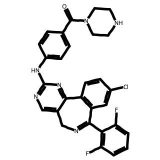 O=C(c1ccc(Nc2ncc3c(n2)-c2ccc(Cl)cc2C(c2c(F)cccc2F)=NC3)cc1)N1CCNCC1